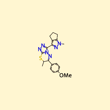 COc1ccc(C2=Nn3c(nnc3-c3nn(C)c4c3CCC4)SC2C)cc1